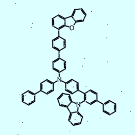 c1ccc(-c2ccc(N(c3ccc(-c4ccc(-c5cccc6c5oc5ccccc56)cc4)cc3)c3ccc(-c4ccc(-c5ccccc5)cc4-n4c5ccccc5c5ccccc54)cc3)cc2)cc1